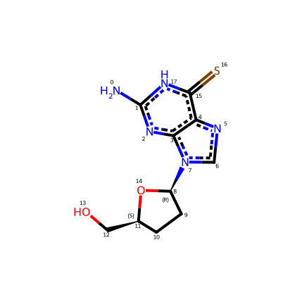 Nc1nc2c(ncn2[C@H]2CC[C@@H](CO)O2)c(=S)[nH]1